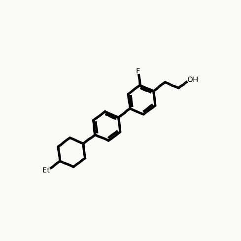 CCC1CCC(c2ccc(-c3ccc(CCO)c(F)c3)cc2)CC1